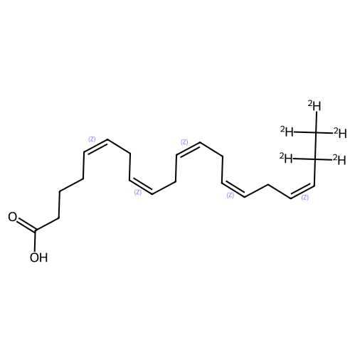 [2H]C([2H])([2H])C([2H])([2H])/C=C\C/C=C\C/C=C\C/C=C\C/C=C\CCCC(=O)O